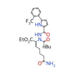 CCCCC(=O)N(NC(=O)c1ccc(-c2ccccc2C(F)(F)F)[nH]1)/C(=C\CCCC(N)=O)C(=O)OCC